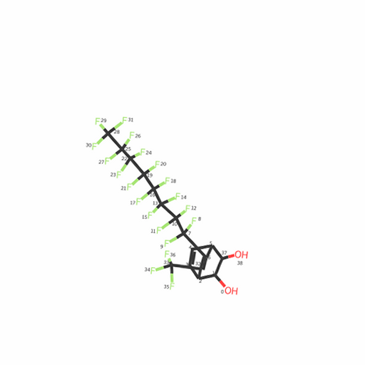 OC1C2C=CC(C(C(F)(F)C(F)(F)C(F)(F)C(F)(F)C(F)(F)C(F)(F)C(F)(F)C(F)(F)F)=C2C(F)(F)F)C1O